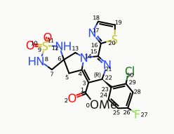 COC(=O)C1=C2CC3(CNS(=O)(=O)N3)CN2C(c2nccs2)=N[C@H]1c1ccc(F)cc1Cl